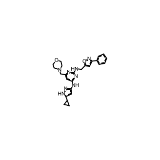 c1ccc(-c2cc(CNc3nc(CN4CCOCC4)cc(Nc4cc(C5CC5)[nH]n4)n3)on2)cc1